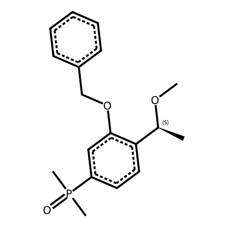 CO[C@@H](C)c1ccc(P(C)(C)=O)cc1OCc1ccccc1